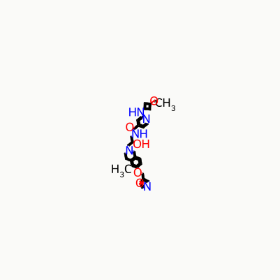 CO[C@H]1C[C@H](Nc2cc(C(=O)NC[C@H](O)CN3CCc4c(ccc(OCc5cnco5)c4C)C3)ccn2)C1